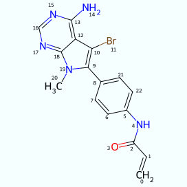 C=CC(=O)Nc1ccc(-c2c(Br)c3c(N)ncnc3n2C)cc1